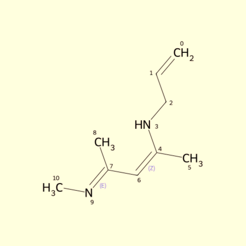 C=CCN/C(C)=C\C(C)=N\C